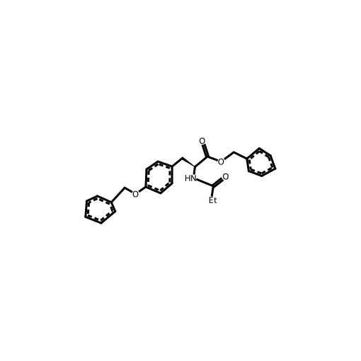 CCC(=O)N[C@@H](Cc1ccc(OCc2ccccc2)cc1)C(=O)OCc1ccccc1